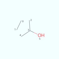 CC.CC(C)O